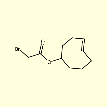 O=C(CBr)OC1CC/C=C/CCC1